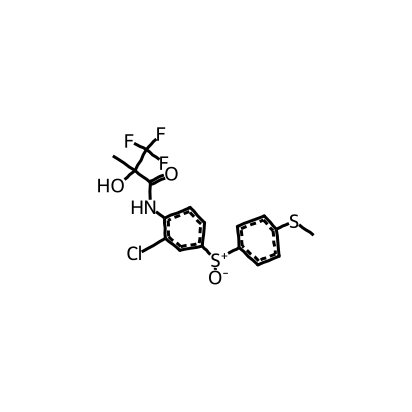 CSc1ccc([S+]([O-])c2ccc(NC(=O)C(C)(O)C(F)(F)F)c(Cl)c2)cc1